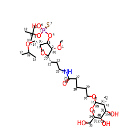 CO[C@H]1C(OP(O)(=S)OC(C)(C)C)[C@@H](COC(C)C)O[C@H]1CCCNC(=O)CCCCO[C@@H]1O[C@H](CO)[C@H](O)[C@H](O)[C@H]1C